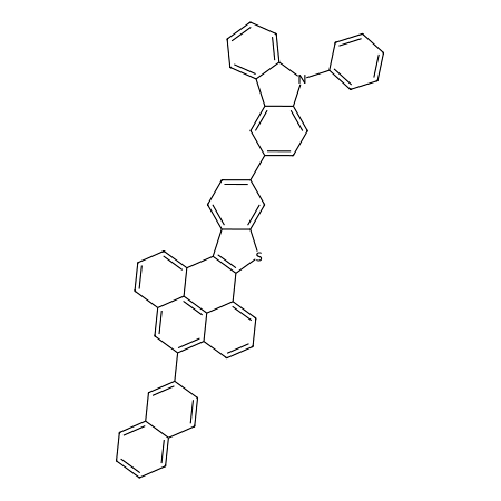 c1ccc(-n2c3ccccc3c3cc(-c4ccc5c(c4)sc4c6cccc7c(-c8ccc9ccccc9c8)cc8cccc(c54)c8c76)ccc32)cc1